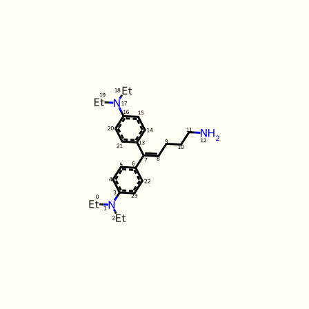 CCN(CC)c1ccc(C(=CCCCN)c2ccc(N(CC)CC)cc2)cc1